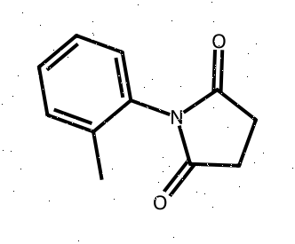 Cc1ccccc1N1C(=O)CCC1=O